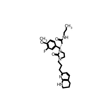 CCCNC(=O)C[C@@H](c1ccc(OC)c(F)c1)N1CCN(CCCc2ccc3c(n2)NCCC3)C1=O